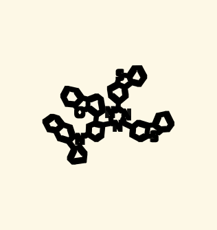 c1ccc2cc3c(cc2c1)c1ccccc1n3-c1ccc(-c2nc(-c3ccc4sc5ccccc5c4c3)nc(-c3ccc4sc5ccccc5c4c3)n2)c(-c2cccc3c2oc2ccccc23)c1